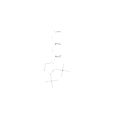 CN(C)CC(=O)CC(=O)N1CCC(C(C)(C)C)=C1C(C)(C)C